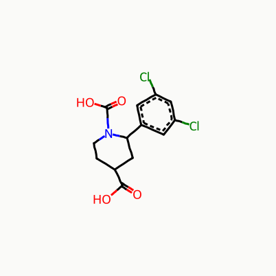 O=C(O)C1CCN(C(=O)O)C(c2cc(Cl)cc(Cl)c2)C1